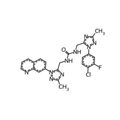 Cc1nc(CNC(=O)NCc2nc(C)nn2-c2ccc3cccnc3c2)n(-c2ccc(Cl)c(F)c2)n1